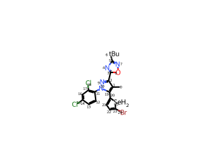 Cc1c(-c2nc(C(C)(C)C)no2)nn(-c2ccc(Cl)cc2Cl)c1C1=CC=C(Br)[SeH2]1